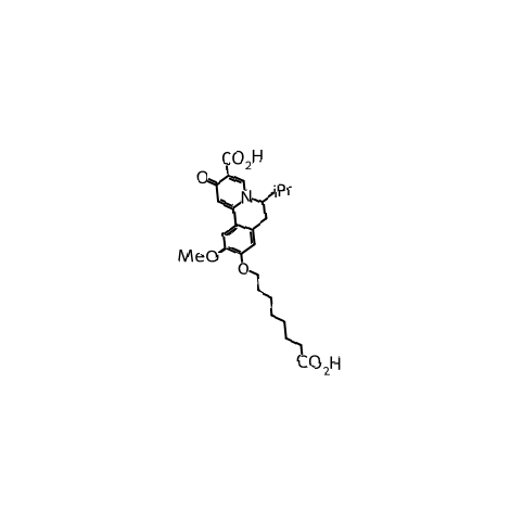 COc1cc2c(cc1OCCCCCCCC(=O)O)CC(C(C)C)n1cc(C(=O)O)c(=O)cc1-2